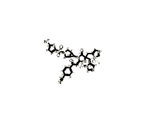 Cn1cncc1CC1(Cc2cncn2C)NC(=CC(=O)c2ccc(C#N)cc2)N(C2C3CN(S(=O)(=O)c4ccc(Br)s4)CC32)C1=O